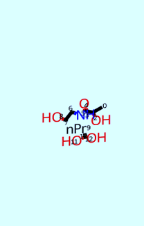 CC(O)C(=O)NCCO.CCCC(O)O